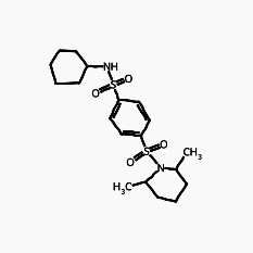 CC1CCCC(C)N1S(=O)(=O)c1ccc(S(=O)(=O)NC2CCCCC2)cc1